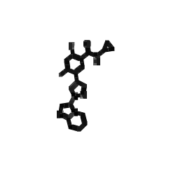 Cc1cc(F)c(C(=O)NC2CC2)cc1-c1cnn(-c2cnc3ccccn23)c1